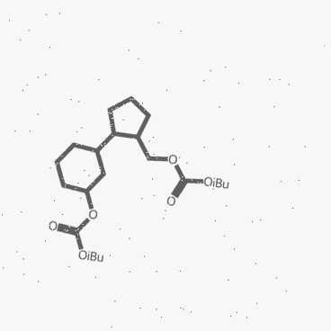 CC(C)COC(=O)OCC1CCCC1C1CCCC(OC(=O)OCC(C)C)C1